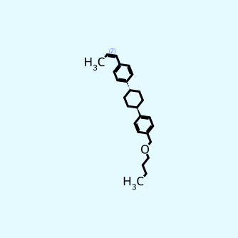 C/C=C\c1ccc([C@H]2CC[C@H](c3ccc(COCCCC)cc3)CC2)cc1